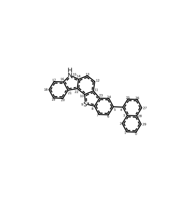 c1ccc2c(-c3ccc4sc5c(ccc6[nH]c7ccccc7c65)c4c3)cccc2c1